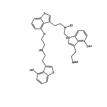 CCN(CCc1csc2cccc(OCCNCCc3csc4cccc(O)c34)c12)C[SH]1C=C(CCNC)c2c(OC(C)=O)cccc21